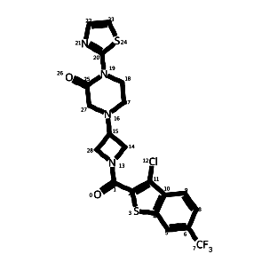 O=C(c1sc2cc(C(F)(F)F)ccc2c1Cl)N1CC(N2CCN(c3nccs3)C(=O)C2)C1